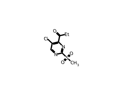 CCC(=O)c1nc(S(C)(=O)=O)ncc1Cl